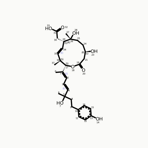 C/C(=C\C=C\C(C)(O)CCc1ccc(O)cc1)[C@H]1OC(=O)C[C@H](O)CC[C@@](C)(O)[C@@H](CC(=O)O)/C=C/[C@@H]1C